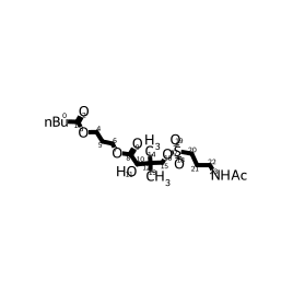 CCCCC(=O)OCCCOC(=O)[C@H](O)C(C)(C)COS(=O)(=O)CCCNC(C)=O